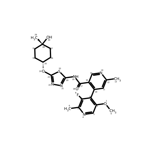 COc1cnc(C)c(F)c1-c1cc(C)ncc1C(=O)Nc1nnc(O[C@H]2CC[C@@](C)(O)CC2)s1